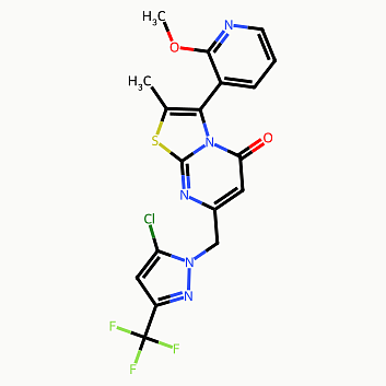 COc1ncccc1-c1c(C)sc2nc(Cn3nc(C(F)(F)F)cc3Cl)cc(=O)n12